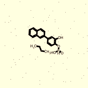 CCCC.O=[PH](O)Oc1ccc(-c2ccc3ccccc3c2)cc1O